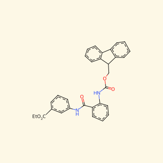 CCOC(=O)c1cccc(NC(=O)c2ccccc2NC(=O)OCC2c3ccccc3-c3ccccc32)c1